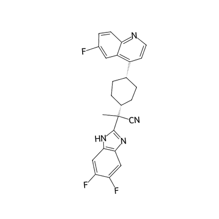 CC(C#N)(c1nc2cc(F)c(F)cc2[nH]1)[C@H]1CC[C@@H](c2ccnc3ccc(F)cc32)CC1